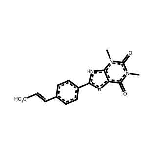 Cn1c(=O)c2nc(-c3ccc(C=CC(=O)O)cc3)[nH]c2n(C)c1=O